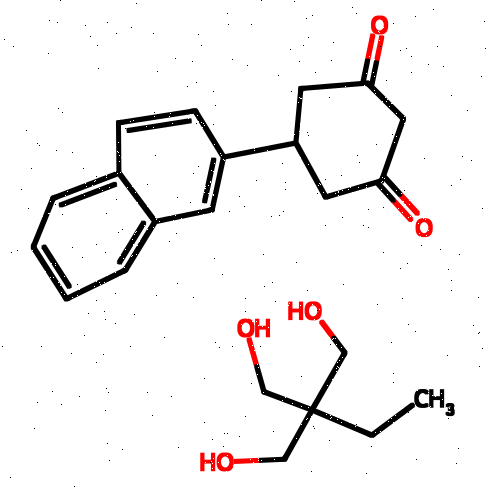 CCC(CO)(CO)CO.O=C1CC(=O)CC(c2ccc3ccccc3c2)C1